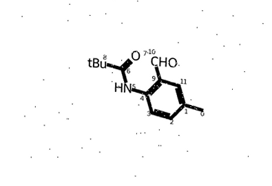 Cc1ccc(NC(=O)C(C)(C)C)c(C=O)c1